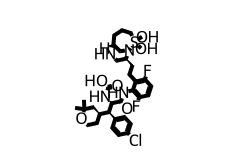 CC1(C)C[C@@H]([C@H](c2ccc(Cl)cc2)[C@H](NC(=O)O)C(=O)Nc2c(F)ccc(F)c2CC[C@H]2CN[C@@H]3CCCS(O)(O)N2C3)CCO1